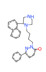 O=c1ccc(-c2ccccc2)nn1CCCCN1CCNCC1c1cccc2ccccc12